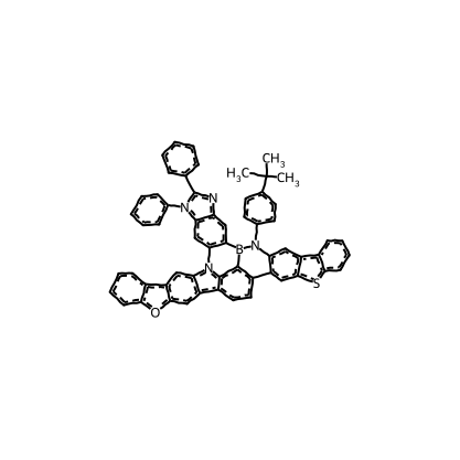 CC(C)(C)c1ccc(N2B3c4cc5nc(-c6ccccc6)n(-c6ccccc6)c5cc4-n4c5cc6c(cc5c5ccc(c3c54)-c3cc4sc5ccccc5c4cc32)oc2ccccc26)cc1